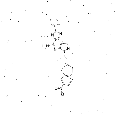 Nc1nc2c(cnn2CCN2CCc3ccc([N+](=O)[O-])cc3CC2)c2nc(-c3ccco3)nn12